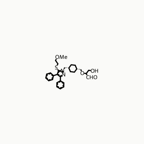 COCCSc1c(-c2ccccc2)c(-c2ccccc2)nn1C[C@H]1CC[C@@H](COC(C=O)CO)CC1